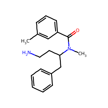 Cc1cccc(C(=O)N(C)C(CCN)Cc2ccccc2)c1